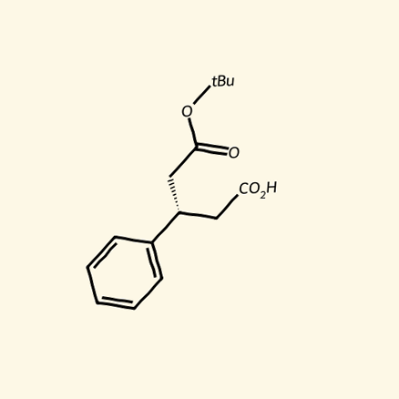 CC(C)(C)OC(=O)C[C@H](CC(=O)O)c1ccccc1